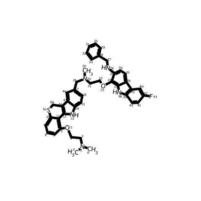 CN(C)CCOc1cccc2c1-c1[nH]c3ccc(CN(C)CCOc4c(NCc5ccccc5)ccc5c4[nH]c4ccc(F)cc45)cc3c1CS2